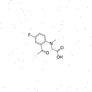 CC(=O)c1cc(F)ccc1N(C)CC(=O)O